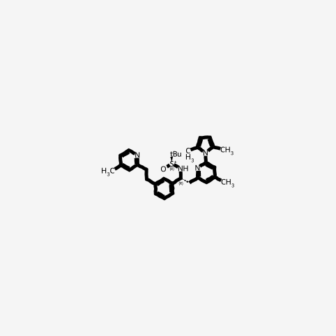 Cc1ccnc(CCc2cccc([C@@H](Cc3cc(C)cc(-n4c(C)ccc4C)n3)N[S@@+]([O-])C(C)(C)C)c2)c1